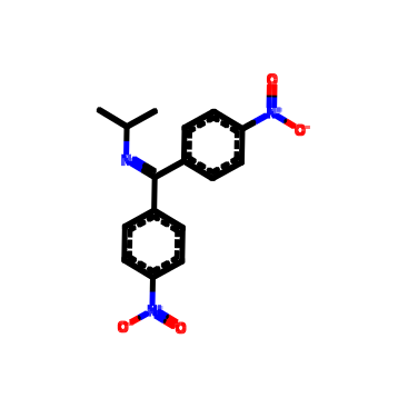 CC(C)N=C(c1ccc([N+](=O)[O-])cc1)c1ccc([N+](=O)[O-])cc1